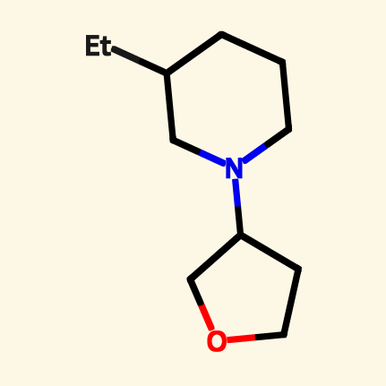 CCC1CCCN(C2CCOC2)C1